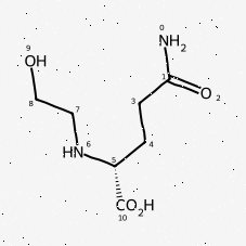 NC(=O)CC[C@@H](NCCO)C(=O)O